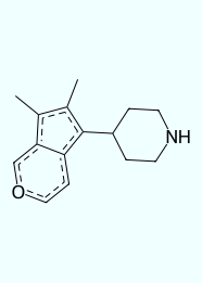 Cc1c2coccc-2c(C2CCNCC2)c1C